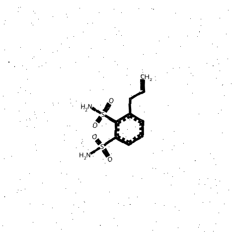 C=CCc1cccc(S(N)(=O)=O)c1S(N)(=O)=O